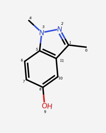 Cc1nn(C)c2ccc(O)cc12